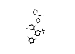 Cc1cc(F)cc(C)c1Oc1ccc(C(C)(C)O)cc1-c1cn(C)c(=O)cc1O[C@H]1C[C@@H](C(=O)N2CCCC2)C1